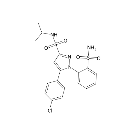 CC(C)NS(=O)(=O)c1cc(-c2ccc(Cl)cc2)n(-c2ccccc2S(N)(=O)=O)n1